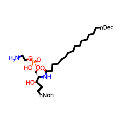 CCCCCCCCC/C=C/[C@@H](O)[C@H](COP(=O)(O)OCCN)NC(=O)CCCCCCCCCCCCCCCCCCCCCCCC